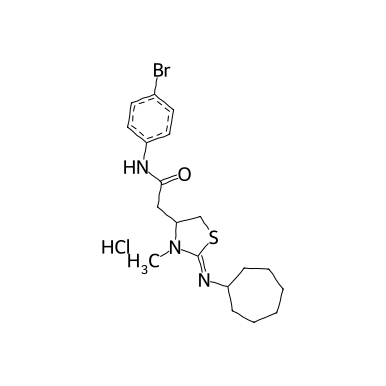 CN1C(=NC2CCCCCC2)SCC1CC(=O)Nc1ccc(Br)cc1.Cl